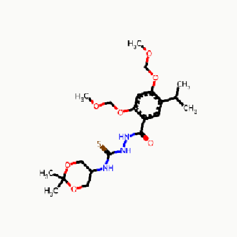 COCOc1cc(OCOC)c(C(C)C)cc1C(=O)NNC(=S)NC1COC(C)(C)OC1